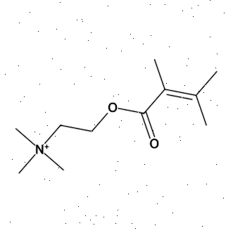 CC(C)=C(C)C(=O)OCC[N+](C)(C)C